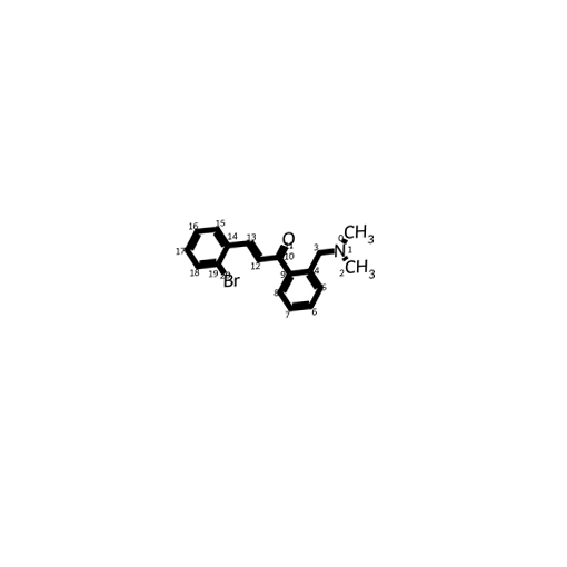 CN(C)Cc1ccccc1C(=O)C=Cc1ccccc1Br